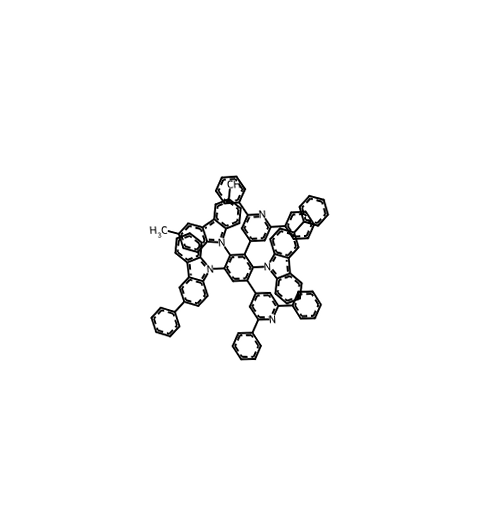 Cc1ccc2c(c1)c1cc(C)ccc1n2-c1c(-n2c3ccccc3c3cc(-c4ccccc4)ccc32)cc(-c2cc(-c3ccccc3)nc(-c3ccccc3)c2)c(-n2c3ccccc3c3cc(-c4ccccc4)ccc32)c1-c1cc(-c2ccccc2)nc(-c2ccccc2)c1